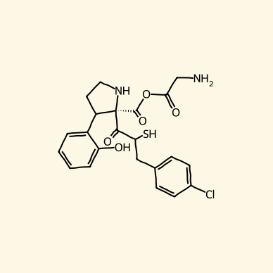 NCC(=O)OC(=O)[C@@]1(C(=O)C(S)Cc2ccc(Cl)cc2)NCCC1c1ccccc1O